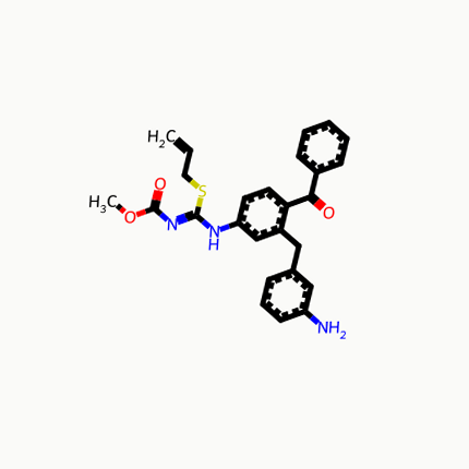 C=CCSC(=NC(=O)OC)Nc1ccc(C(=O)c2ccccc2)c(Cc2cccc(N)c2)c1